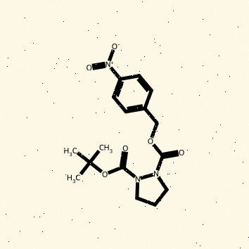 CC(C)(C)OC(=O)N1CCCN1C(=O)OCc1ccc([N+](=O)[O-])cc1